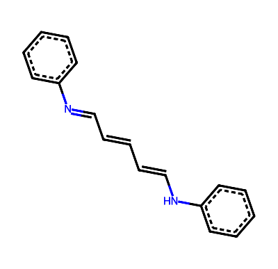 C(=C/C=C/Nc1ccccc1)C=Nc1ccccc1